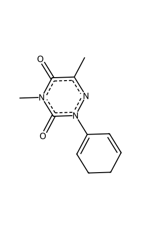 Cc1nn(C2=CCCC=C2)c(=O)n(C)c1=O